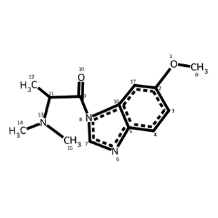 COc1ccc2ncn(C(=O)C(C)N(C)C)c2c1